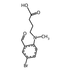 CN(CCCC(=O)O)c1ccc(Br)cc1C=O